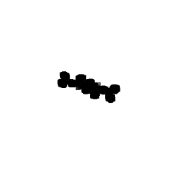 c1ccc(N(c2ccccc2)c2ccc(-c3nc4c5cccc6c5c5c(cccc5c4n3-c3ccccc3)c3nc(-c4ccc(N(c5ccccc5)c5ccccc5)cc4)n(-c4ccccc4)c63)cc2)cc1